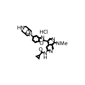 CNc1ncc(-c2nc3cc(N4CC5CNCC(C4)O5)ccc3o2)c2cc(NC(=O)C3CC3)ncc12.Cl